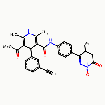 C#Cc1cccc(C2C(C(=O)Nc3ccc(C4=N[NH+]([O-])C(=O)CC4CCC)cc3)=C(C)NC(C)=C2C(=O)OC)c1